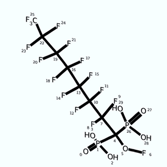 O=P(O)(O)C(OF)(C(F)(F)C(F)(F)C(F)(F)C(F)(F)C(F)(F)C(F)(F)C(F)(F)F)P(=O)(O)O